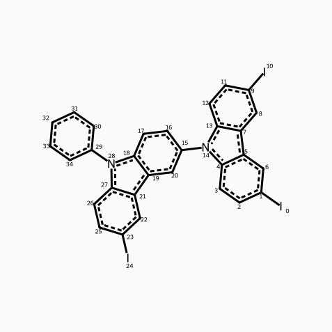 Ic1ccc2c(c1)c1cc(I)ccc1n2-c1ccc2c(c1)c1cc(I)ccc1n2-c1ccccc1